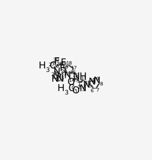 COc1nn(-c2cccnn2)cc1C(=O)Nc1cccc(-c2nncn2C(C)C(F)(F)F)n1